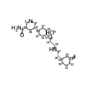 Cl.NC(=O)c1cncc(-c2ccc(OCCNCCc3cccc(F)c3)cc2)c1